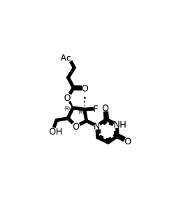 CC(=O)CCC(=O)O[C@@H]1C(CO)OC(n2ccc(=O)[nH]c2=O)[C@]1(C)F